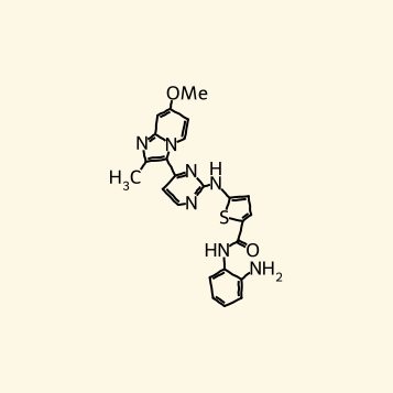 COc1ccn2c(-c3ccnc(Nc4ccc(C(=O)Nc5ccccc5N)s4)n3)c(C)nc2c1